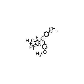 COc1ccc(CN(Cc2ccc(OC)cc2)c2ncc(C(F)(F)F)c(C)c2F)cc1